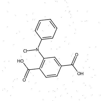 O=C(O)c1ccc(C(=O)O)c(N(Cl)c2ccccc2)c1